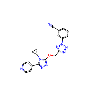 N#Cc1cccc(-n2nnc(COc3nnc(-c4ccncc4)n3C3CC3)n2)c1